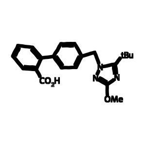 COc1nc(C(C)(C)C)n(Cc2ccc(-c3ccccc3C(=O)O)cc2)n1